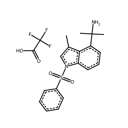 Cc1cn(S(=O)(=O)c2ccccc2)c2cccc(C(C)(C)N)c12.O=C(O)C(F)(F)F